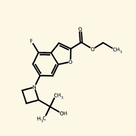 CCOC(=O)c1cc2c(F)cc(N3CCC3C(C)(C)O)cc2o1